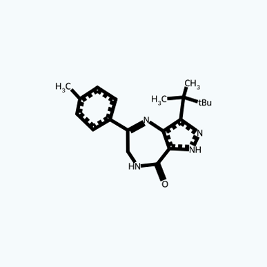 Cc1ccc(C2=Nc3c(C(C)(C)C(C)(C)C)n[nH]c3C(=O)NC2)cc1